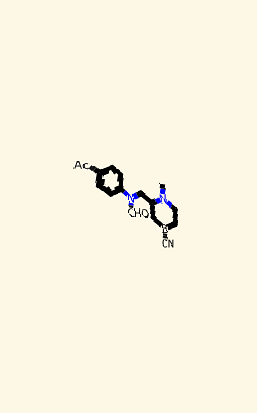 CC(=O)c1ccc(N(C=O)CC2CB(C#N)CCN2C)cc1